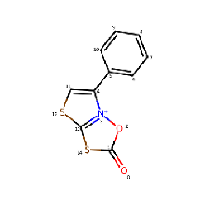 O=c1o[n+]2c(-c3ccccc3)csc2s1